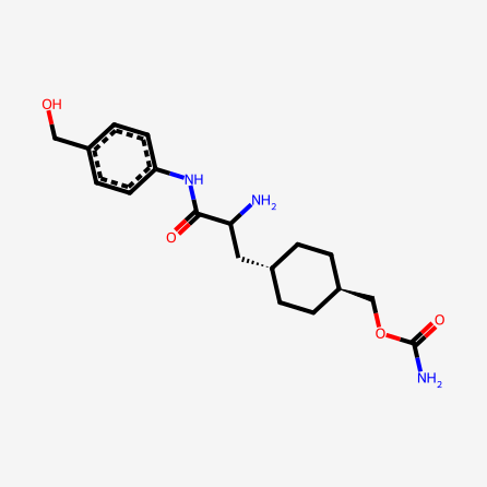 NC(=O)OC[C@H]1CC[C@H](CC(N)C(=O)Nc2ccc(CO)cc2)CC1